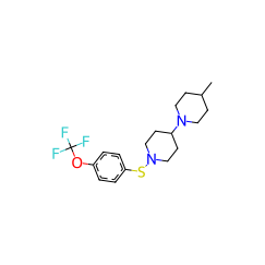 CC1CCN(C2CCN(Sc3ccc(OC(F)(F)F)cc3)CC2)CC1